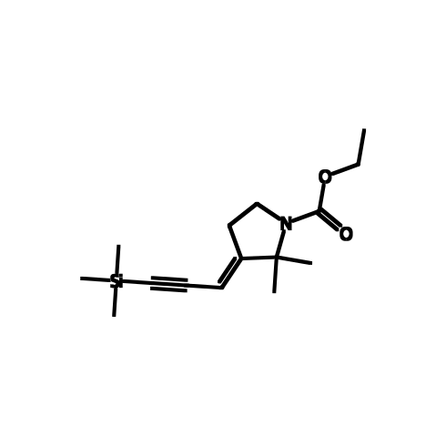 CCOC(=O)N1CC/C(=C\C#C[Si](C)(C)C)C1(C)C